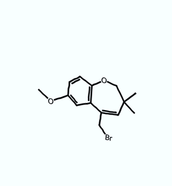 COc1ccc2c(c1)C(CBr)=CC(C)(C)CO2